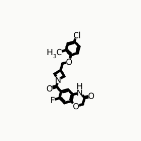 Cc1cc(Cl)ccc1OCC1CN(C(=O)c2cc3c(cc2F)OCC(=O)N3)C1